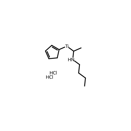 CCCCN[CH](C)[Ti][C]1=CC=CC1.Cl.Cl